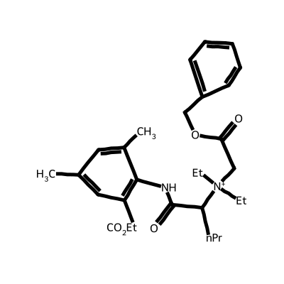 CCCC(C(=O)Nc1c(C)cc(C)cc1C(=O)OCC)[N+](CC)(CC)CC(=O)OCc1ccccc1